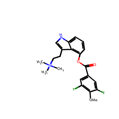 COc1c(F)cc(C(=O)Oc2cccc3[nH]cc(CC[N+](C)(C)C)c23)cc1F